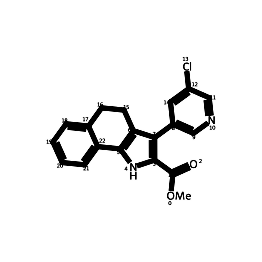 COC(=O)c1[nH]c2c(c1-c1cncc(Cl)c1)CCc1ccccc1-2